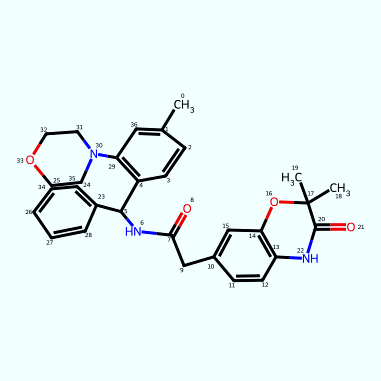 Cc1ccc(C(NC(=O)Cc2ccc3c(c2)OC(C)(C)C(=O)N3)c2ccccc2)c(N2CCOCC2)c1